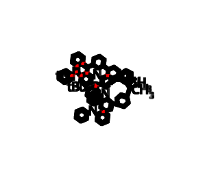 CC(C)(C)C1=CCC(C2=CCCC(C3=CCC(C(C)(C)C)CC3)C2N2c3cc(N(c4ccccc4)c4ccccc4)ccc3B3c4ccc(N(c5ccccc5)c5ccccc5)cc4N4c5cc(cc2c53)-c2ccccc2C(C)(C)C2=CCC(CC2)C2=CCCC(C3=CCC(C(C)(C)C)CC3)C24)CC1